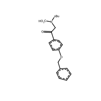 CCCCN(CC(=O)c1ccc(OCc2ccccc2)cc1)C(=O)O